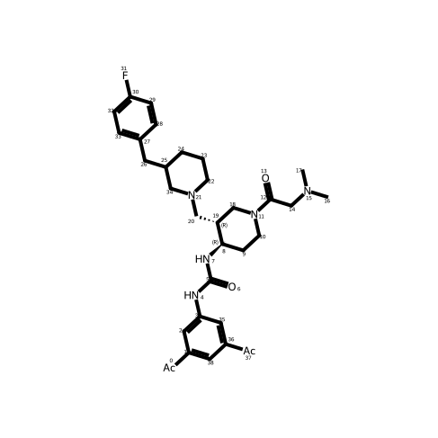 CC(=O)c1cc(NC(=O)N[C@@H]2CCN(C(=O)CN(C)C)C[C@H]2CN2CCCC(Cc3ccc(F)cc3)C2)cc(C(C)=O)c1